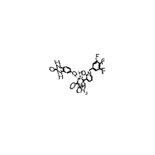 CNC(=O)[C@H](COc1ccc2[nH]c(=O)[nH]c2c1)NC(=O)c1cccn(Cc2cc(F)c(F)c(F)c2)c1=O